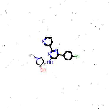 CC(C)N1C[C@@H](O)[C@H](Nc2cc(-c3ccc(Cl)cc3)nc(-c3cccnc3)n2)C1